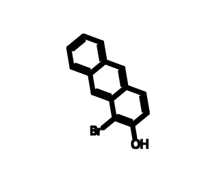 Oc1ccc2cc3ccccc3cc2c1Br